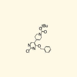 CC(C)(C)OC(=O)N1CC=C(c2cnc(Cl)nc2OCc2ccccc2)CC1